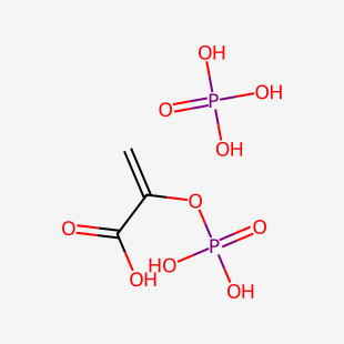 C=C(OP(=O)(O)O)C(=O)O.O=P(O)(O)O